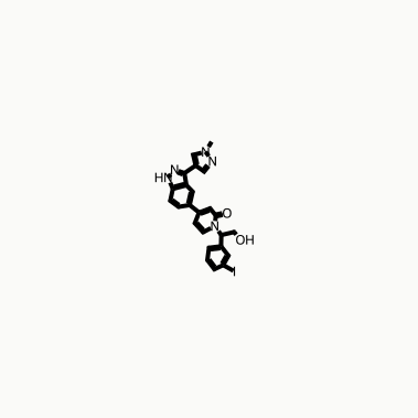 Cn1cc(-c2n[nH]c3ccc(-c4ccn(C(CO)c5cccc(I)c5)c(=O)c4)cc23)cn1